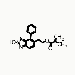 C=C(C)C(=O)OCCc1ccc2nn(O)nc2c1-c1ccccc1